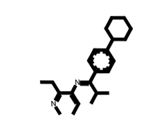 C/C=C(/N=C(/c1ccc(C2CCCCC2)cc1)C(C)C)C(\CC)=N/C